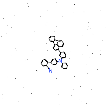 N#Cc1ccccc1-c1ccc(N(c2ccccc2)c2cccc(-c3ccc4c5c(cccc35)-c3ccccc3-4)c2)cc1